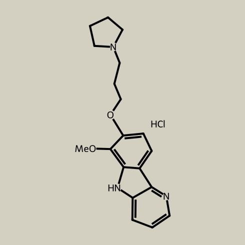 COc1c(OCCCN2CCCC2)ccc2c1[nH]c1cccnc12.Cl